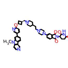 Cn1c2ccncc2c2ccc(-c3ccc(O[C@H]4C[C@H](CN5CCC(CCN6CCN(c7ccc8c(c7)C(=O)N(C7CCC(=O)NC7=O)C8=O)CC6)CC5)C4)nc3)cc21